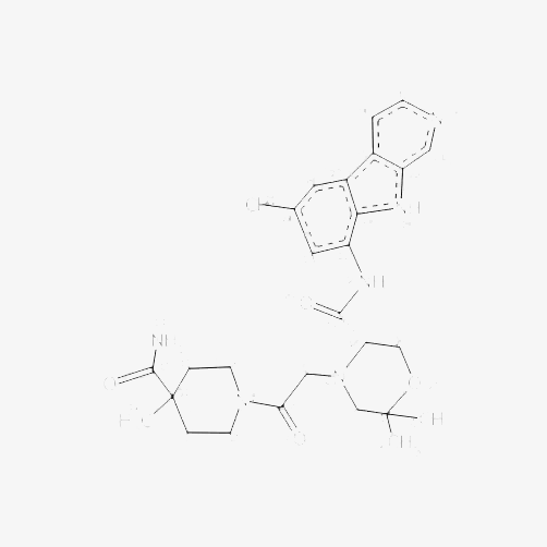 CC1(C)CN(CC(=O)N2CCC(C)(C(N)=O)CC2)[C@H](C(=O)Nc2cc(Cl)cc3c2[nH]c2cnccc23)CO1